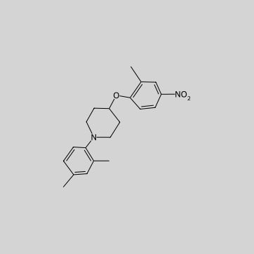 Cc1ccc(N2CCC(Oc3ccc([N+](=O)[O-])cc3C)CC2)c(C)c1